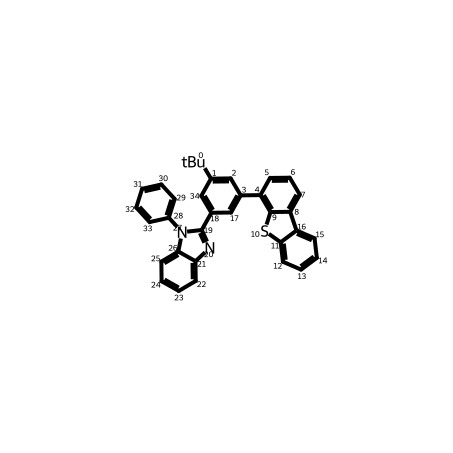 CC(C)(C)c1cc(-c2cccc3c2sc2ccccc23)cc(-c2nc3ccccc3n2-c2ccccc2)c1